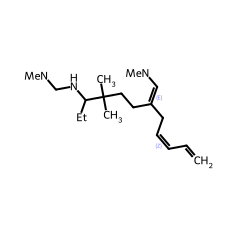 C=C/C=C\C/C(=C/NC)CCC(C)(C)C(CC)NCNC